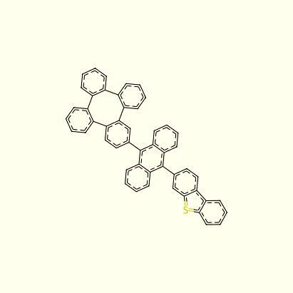 c1ccc2c(c1)-c1ccccc1-c1ccc(-c3c4ccccc4c(-c4ccc5c(c4)sc4ccccc45)c4ccccc34)cc1-c1ccccc1-2